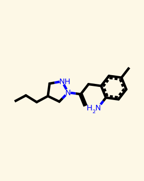 C=C(Cc1cc(C)ccc1N)N1CC(CCC)CN1